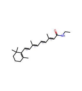 CCNC(=O)/C=C(C)/C=C/C=C(C)/C=C/C1=C(C)CCCC1(C)C